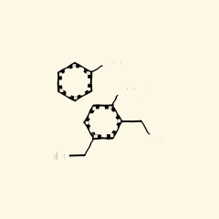 CC(C)Cc1ccc(C(=O)O)c(CC(C)C)c1.O=C(O)c1ccccc1